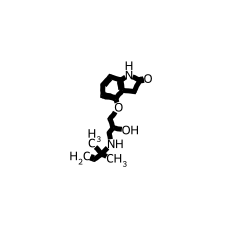 C=CC(C)(C)NCC(O)COc1cccc2c1CC(=O)N2